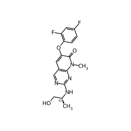 C[C@@H](CO)Nc1ncc2cc(Oc3ccc(F)cc3F)c(=O)n(C)c2n1